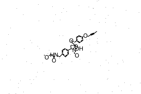 CC#CCOc1ccc(S(=O)(=O)CC(c2ccc(CNC(=O)COC)cc2)N(O)C=O)cc1